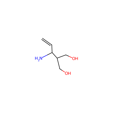 C=CC(N)C(CO)CO